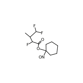 CC(C(F)F)C(F)C(=O)OC1(N=O)CCCCC1